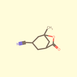 CC12CC(C#N)CC(C1)C(=O)O2